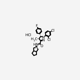 C[C@H]1C(C(=O)NN2CC3CCCC3C2)=NN(c2ccc(Cl)cc2Cl)[C@H]1c1ccc(F)cc1.Cl